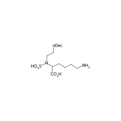 CCCCCCCCCCCCN(C(CCCCN)C(=O)O)S(=O)(=O)O